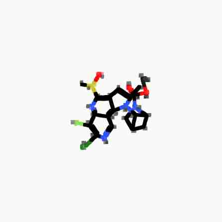 Cc1cc2c([S+](C)[O-])nc3c(F)c(Cl)ncc3c2n1C1C2CC1N(C(=O)OC(C)(C)C)C2